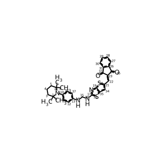 CC1(C)CCCC(C)(C)N1c1ccc(NCNc2nc3sc(C=C4C(=O)c5ccccc5C4=O)cc3s2)cc1